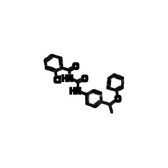 CC(Oc1ccccc1)c1ccc(NC(=O)NC(=O)c2ccccc2Cl)cc1